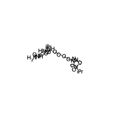 CC(C)CC(=O)N1Cc2ccccc2-c2nnn(CCOCCOCCOCCOCCC(=O)NC(C(=O)NC(CCCNC(N)=O)C(=O)C(C)C)C(C)C)c2-c2ccccc21